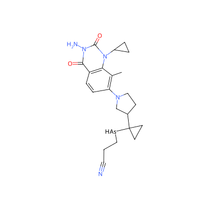 Cc1c(N2CCC(C3([AsH]CCC#N)CC3)C2)ccc2c(=O)n(N)c(=O)n(C3CC3)c12